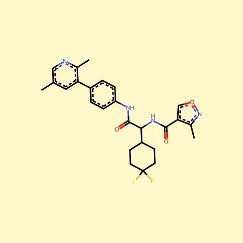 Cc1cnc(C)c(-c2ccc(NC(=O)C(NC(=O)c3conc3C)C3CCC(F)(F)CC3)cc2)c1